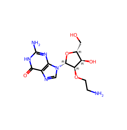 NCCO[C@@H]1[C@H](O)[C@@H](CO)O[C@H]1n1cnc2c(=O)[nH]c(N)nc21